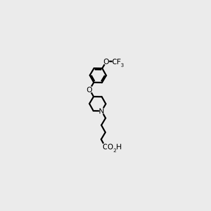 O=C(O)CCCCN1CCC(Oc2ccc(OC(F)(F)F)cc2)CC1